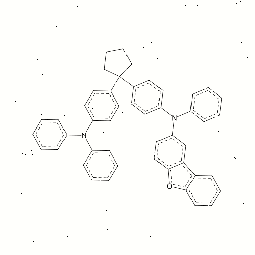 c1ccc(N(c2ccccc2)c2ccc(C3(c4ccc(N(c5ccccc5)c5ccc6oc7ccccc7c6c5)cc4)CCCC3)cc2)cc1